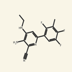 CCNc1cc(-c2cc(F)c(F)c(C)c2F)nc(C#N)c1N